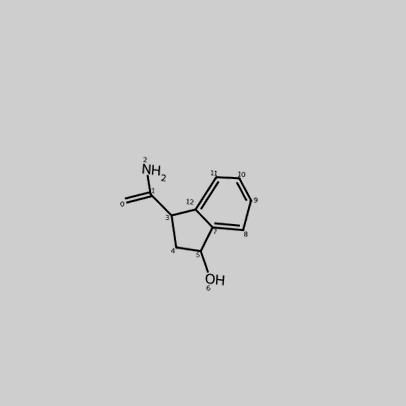 C=C(N)C1CC(O)c2ccccc21